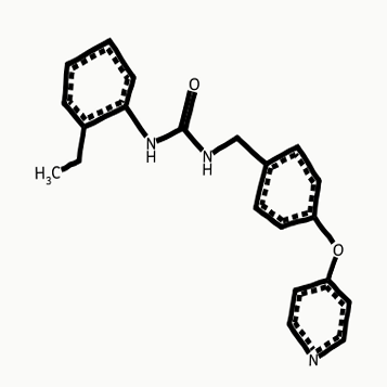 CCc1ccccc1NC(=O)NCc1ccc(Oc2ccncc2)cc1